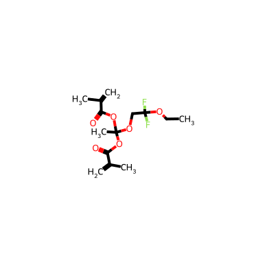 C=C(C)C(=O)OC(C)(OCC(F)(F)OCC)OC(=O)C(=C)C